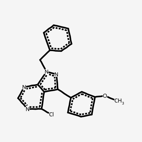 COc1cccc(-c2nn(Cc3ccccc3)c3ncnc(Cl)c23)c1